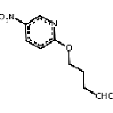 O=CCCCOc1ccc([N+](=O)[O-])cn1